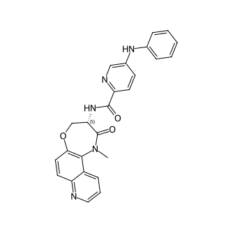 CN1C(=O)[C@@H](NC(=O)c2ccc(Nc3ccccc3)cn2)COc2ccc3ncccc3c21